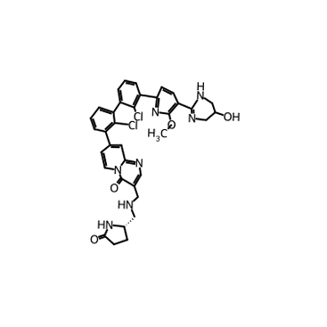 COc1nc(-c2cccc(-c3cccc(-c4ccn5c(=O)c(CNC[C@@H]6CCC(=O)N6)cnc5c4)c3Cl)c2Cl)ccc1C1=NCC(O)CN1